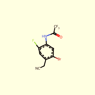 N#CCc1cc(F)c(NC(=O)C(F)(F)F)cc1Br